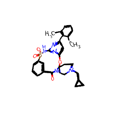 Cc1cccc(C)c1-c1cc2nc(n1)NS(=O)(=O)c1cccc(c1)C(=O)NC1(CCN(CC3CC3)CC1)O2